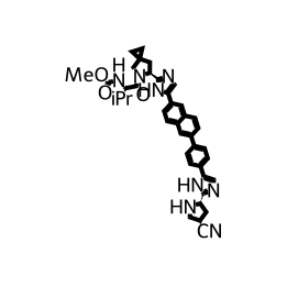 COC(=O)N[C@H](C(=O)N1CC2(CC2)C[C@H]1c1ncc(-c2ccc3cc(-c4ccc(-c5cnc([C@@H]6C[C@H](C#N)CN6)[nH]5)cc4)ccc3c2)[nH]1)C(C)C